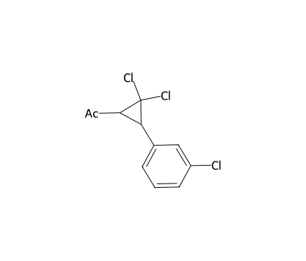 CC(=O)C1C(c2cccc(Cl)c2)C1(Cl)Cl